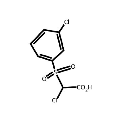 O=C(O)C(Cl)S(=O)(=O)c1cccc(Cl)c1